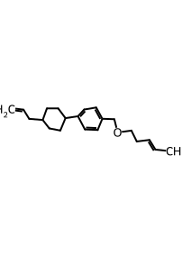 C=CCC1CCC(c2ccc(COCCC=CC)cc2)CC1